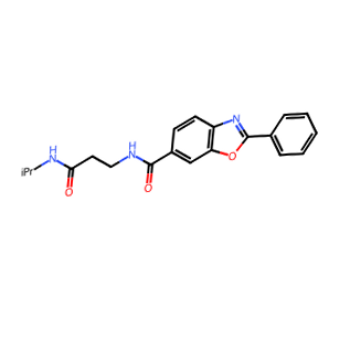 CC(C)NC(=O)CCNC(=O)c1ccc2nc(-c3ccccc3)oc2c1